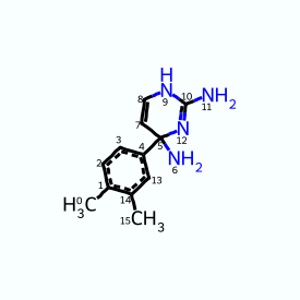 Cc1ccc(C2(N)C=CNC(N)=N2)cc1C